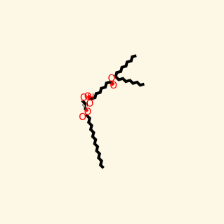 CCCCCCCCCCCCCCCC(=O)OC[C@@H](CO)OC(=O)CCCCCCC(=O)OC(CCCCCCCC)CCCCCCCC